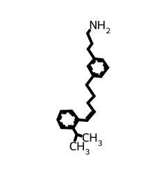 CC(C)c1ccccc1/C=C\CCCc1cccc(CCCN)c1